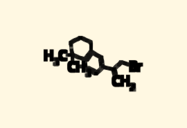 C=C(CBr)c1ccc2c(c1)CCCC2(C)C